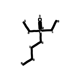 [CH2]CP(=O)(CC)CCCC